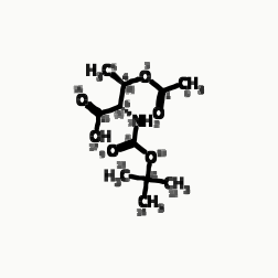 CC(=O)O[C@H](C)[C@H](NC(=O)OC(C)(C)C)C(=O)O